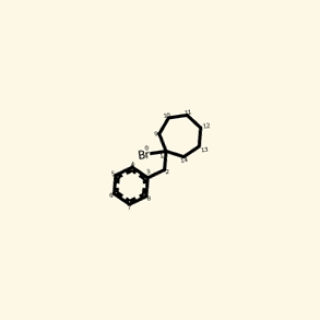 BrC1(Cc2ccccc2)CCCCCC1